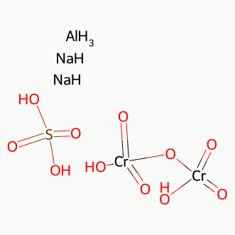 O=S(=O)(O)O.[AlH3].[NaH].[NaH].[O]=[Cr](=[O])([OH])[O][Cr](=[O])(=[O])[OH]